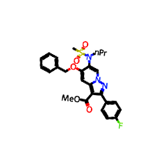 CCCN(c1cn2nc(-c3ccc(F)cc3)c(C(=O)OC)c2cc1OCc1ccccc1)S(C)(=O)=O